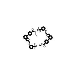 CCOC(=O)c1ccc(-c2cccc3cc(COc4cccc(C(F)(F)F)c4)sc23)cc1.NC(=O)c1ccc(-c2cccc3cc(COc4cccc(C(F)(F)F)c4)sc23)cc1